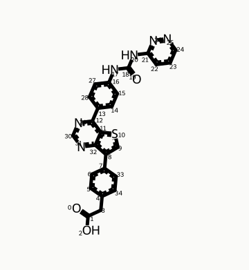 O=C(O)Cc1ccc(-c2csc3c(-c4ccc(NC(=O)Nc5cccnn5)cc4)ncnc23)cc1